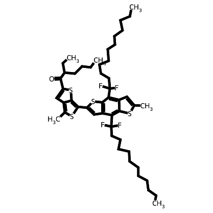 CCCCCCCCCCCC(F)(F)c1c2cc(-c3sc(C)c4cc(C(=O)C(CC)CCCC)sc34)sc2c(C(F)(F)CCCCCCCCCCC)c2cc(C)sc12